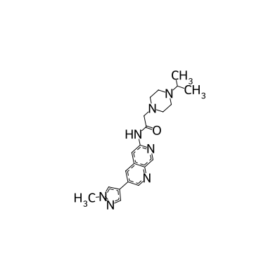 CC(C)N1CCN(CC(=O)Nc2cc3cc(-c4cnn(C)c4)cnc3cn2)CC1